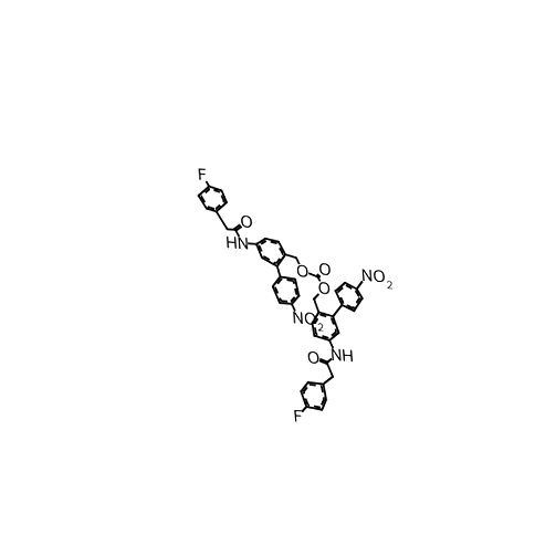 O=C(Cc1ccc(F)cc1)Nc1ccc(COC(=O)OCc2ccc(NC(=O)Cc3ccc(F)cc3)cc2-c2ccc([N+](=O)[O-])cc2)c(-c2ccc([N+](=O)[O-])cc2)c1